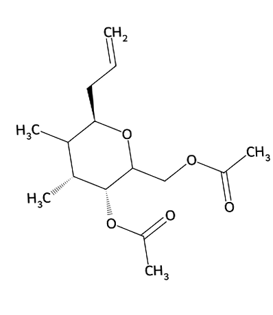 C=CC[C@H]1OC(COC(C)=O)[C@H](OC(C)=O)[C@H](C)C1C